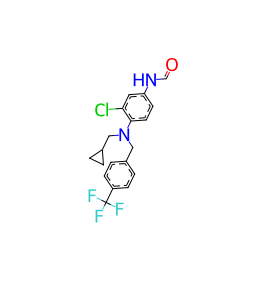 O=CNc1ccc(N(Cc2ccc(C(F)(F)F)cc2)CC2CC2)c(Cl)c1